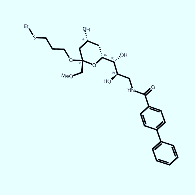 CCSCCCO[C@]1(COC)C[C@H](O)C[C@H]([C@H](O)[C@H](O)CNC(=O)c2ccc(-c3ccccc3)cc2)O1